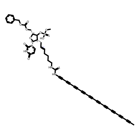 CC#CC#CC#CC#CC#CC#CC#CC#CC#CC#CNC(=S)NCCCC/C=C/C[C@H]1C(OP(O)(=S)OC)[C@@H](COC(=O)OCc2ccccc2)O[C@H]1n1ccc(=O)[nH]c1=O